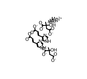 CC(O)(CC(=O)[O-])C(=O)[O-].CC(O)(CC(=O)[O-])C(=O)[O-].O=C([O-])C=Cc1c[nH]cn1.O=C([O-])C=Cc1c[nH]cn1.[Mn+2].[Mn+2].[Mn+2]